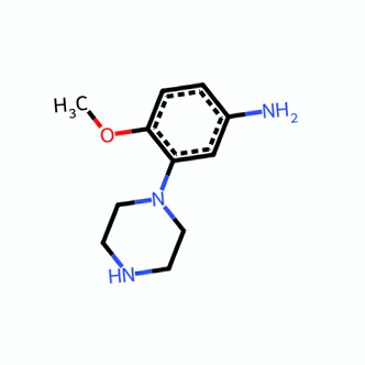 COc1ccc(N)cc1N1CCNCC1